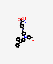 N#C/C(=C\c1ccc(/C=C/c2ccc(N(c3ccc(C=C(c4ccccc4)c4ccccc4)cc3)c3ccc(CO)cc3)cc2)cc1)C(=O)O